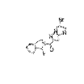 O=C(c1cc2ncc(Br)cn2n1)N1CCc2ccccc2C1F